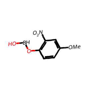 COc1ccc(OBO)c([N+](=O)[O-])c1